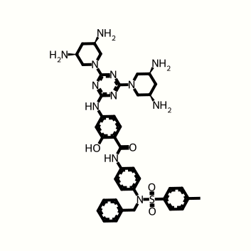 Cc1ccc(S(=O)(=O)N(Cc2ccccc2)c2ccc(NC(=O)c3ccc(Nc4nc(N5C[C@H](N)C[C@H](N)C5)nc(N5C[C@H](N)C[C@H](N)C5)n4)cc3O)cc2)cc1